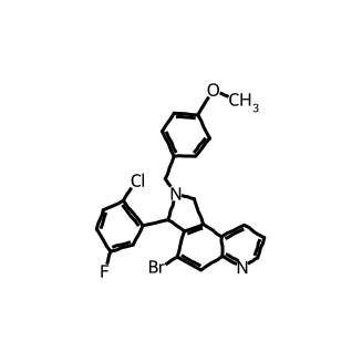 COc1ccc(CN2Cc3c(c(Br)cc4ncccc34)C2c2cc(F)ccc2Cl)cc1